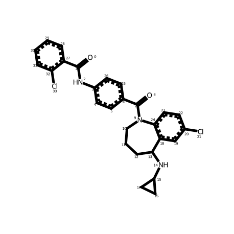 O=C(Nc1ccc(C(=O)N2CCCC(NC3CC3)c3cc(Cl)ccc32)cc1)c1ccccc1Cl